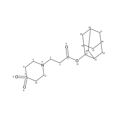 O=C(CCN1CCS(=O)(=O)CC1)OC1C2CC3CC(C2)CC1C3